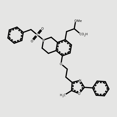 COC(Cc1ccc(OCCc2nc(-c3ccccc3)oc2C)c2c1CN(S(=O)(=O)Cc1ccccc1)CC2)C(=O)O